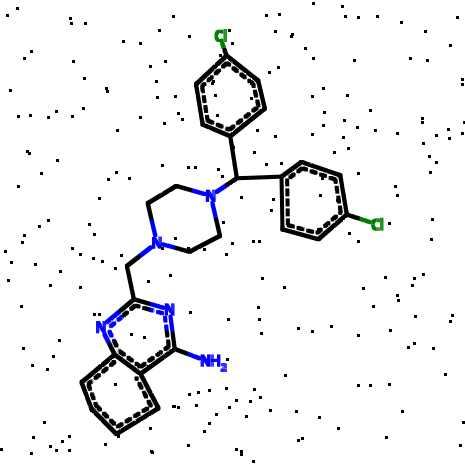 Nc1nc(CN2CCN(C(c3ccc(Cl)cc3)c3ccc(Cl)cc3)CC2)nc2ccccc12